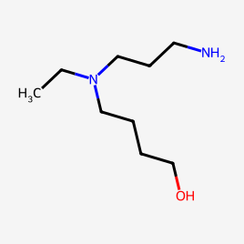 CCN(CCCN)CCCCO